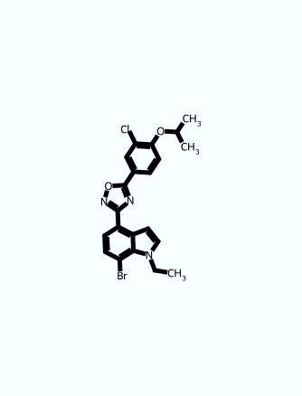 CCn1ccc2c(-c3noc(-c4ccc(OC(C)C)c(Cl)c4)n3)ccc(Br)c21